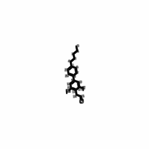 CCCCCc1ccc(-c2cc(F)c(CC=O)c(F)c2)cc1